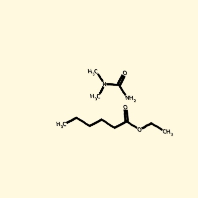 CCCCCC(=O)OCC.CN(C)C(N)=O